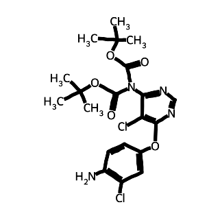 CC(C)(C)OC(=O)N(C(=O)OC(C)(C)C)c1ncnc(Oc2ccc(N)c(Cl)c2)c1Cl